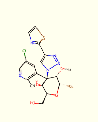 CCO[C@@H]1[C@H](S)O[C@@H](CO)[C@@H](O)[C@@]1(c1cc(Cl)cnc1C#N)n1cc(-c2nccs2)nn1